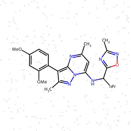 CCCC(Nc1cc(C)nc2c(-c3ccc(OC)cc3OC)c(C)nn12)c1nc(C)no1